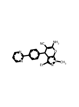 CCc1nn(C)c2c1C(c1ccc(-c3ncccn3)cc1)C(C#N)=C(N)O2